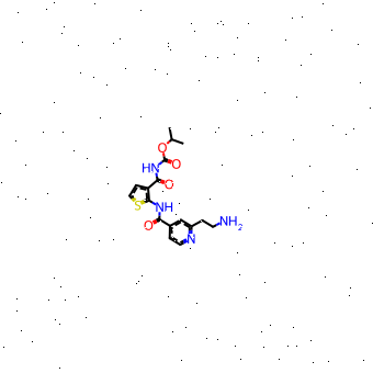 CC(C)OC(=O)NC(=O)c1ccsc1NC(=O)c1ccnc(CCN)c1